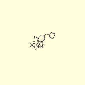 CC(C)(C)OC(=O)N1[C@@H]2CC(NN)[C@H]1CN(Cc1ccccc1)C2